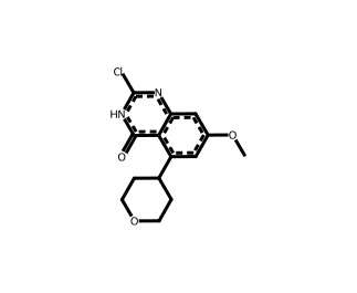 COc1cc(C2CCOCC2)c2c(=O)[nH]c(Cl)nc2c1